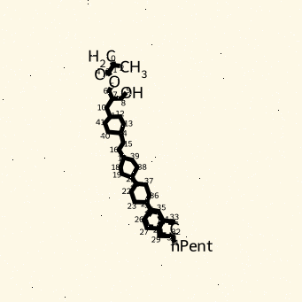 C=C(C)C(=O)OCC(CO)CC1CCC(CCC2CCC(C3CCC(c4ccc5cc(CCCCC)ccc5c4)CC3)CC2)CC1